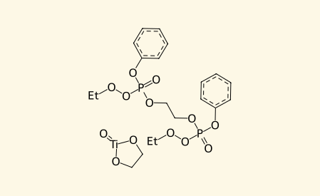 CCOOP(=O)(OCCOP(=O)(OOCC)Oc1ccccc1)Oc1ccccc1.[O]=[Ti]1[O]CC[O]1